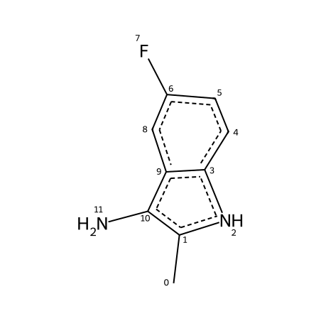 Cc1[nH]c2ccc(F)cc2c1N